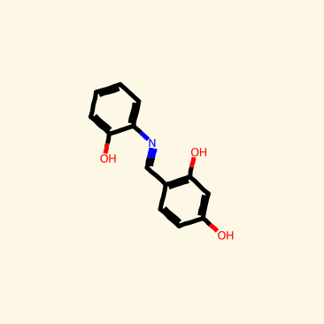 Oc1ccc(C=Nc2ccccc2O)c(O)c1